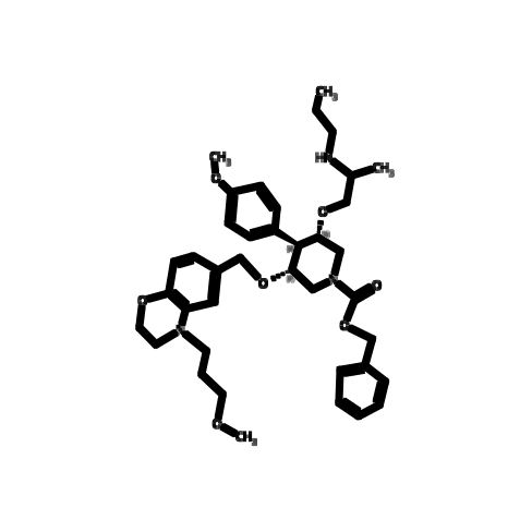 CCCNC(C)CO[C@@H]1CN(C(=O)OCc2ccccc2)C[C@H](OCc2ccc3c(c2)N(CCCOC)CCO3)[C@H]1c1ccc(OC)cc1